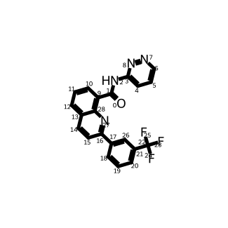 O=C(Nc1cccnn1)c1cccc2ccc(-c3cccc(C(F)(F)F)c3)nc12